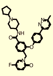 Cc1ccc(-c2ccc(Oc3cc(C(=O)NC4CCN(C5CCCC5)CC4)ccc3Cn3cc(F)ccc3=O)cc2)nn1